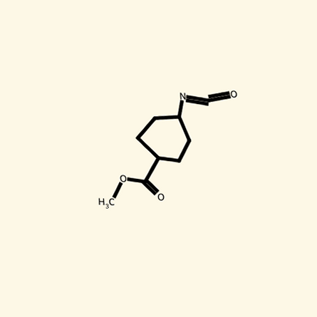 COC(=O)C1CCC(N=C=O)CC1